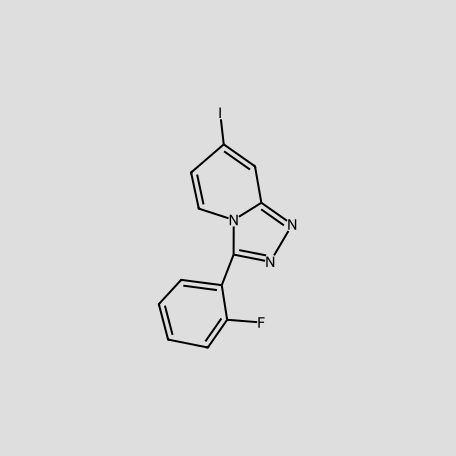 Fc1ccccc1-c1nnc2cc(I)ccn12